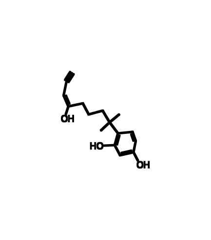 C#C/C=C(/O)CCCC(C)(C)c1ccc(O)cc1O